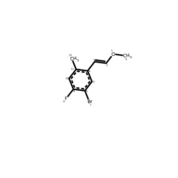 COC=Cc1cc(Br)c(F)cc1C